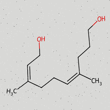 CC(=CCO)CCC=C(C)CCCO